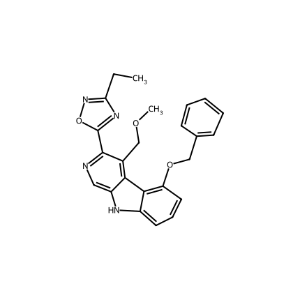 CCc1noc(-c2ncc3[nH]c4cccc(OCc5ccccc5)c4c3c2COC)n1